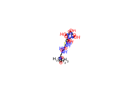 CCC(C)(CC=O)C(=O)N(C)CCCCCNC(=O)CNC(=O)CNC(=S)Nc1ccc(CC2CN(CC(=O)O)CCN(CC(=O)O)CCN(CC(=O)O)CCN2CC(=O)O)cc1